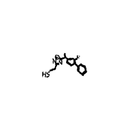 CC(c1ccc(-c2ccccc2)c(F)c1)c1nc(CCS)no1